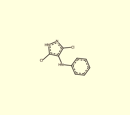 Clc1n[nH]c(Cl)c1Nc1ccccc1